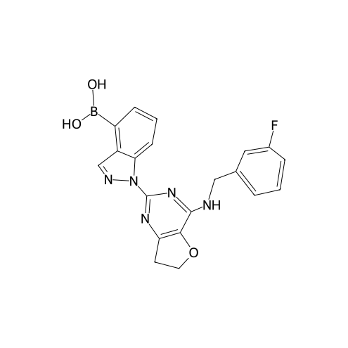 OB(O)c1cccc2c1cnn2-c1nc2c(c(NCc3cccc(F)c3)n1)OCC2